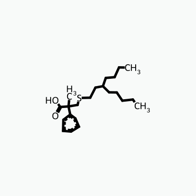 CCCCCC(CCCC)CCSCC(C)(C(=O)O)c1ccccc1